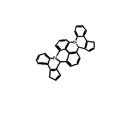 C1=CC2=C(C1)c1ccccc1N1c3cccc4c3-c3c(cccc3C3C5=C(CC=C5)c5ccccc5N43)C21